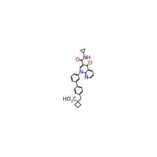 O=C(NC1CC1)c1cn(-c2cccc(-c3ccc(CC4(C(=O)O)CCC4)cc3)c2)c2ncccc2c1=O